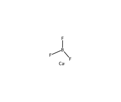 FB(F)F.[Ca]